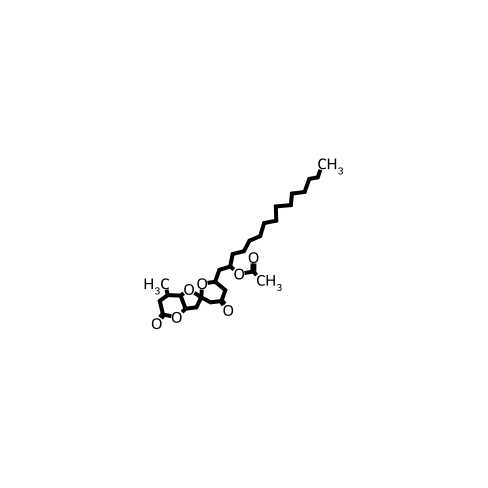 CCCCCCCCCCCCCC(CC1CC(=O)CC2(CC3OC(=O)CC(C)C3O2)O1)OC(C)=O